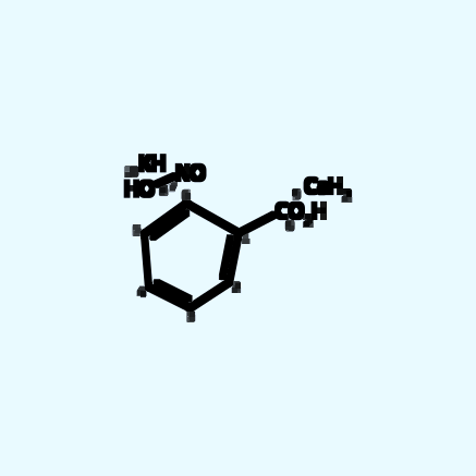 O=C(O)c1ccccc1.O=NO.[CaH2].[KH]